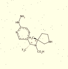 C[C@@]1(N(C(=O)O)[C@@H](c2ccc(NN)nc2)C(F)(F)F)CCNC1